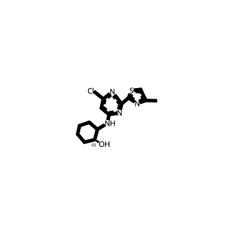 Cc1csc(-c2nc(Cl)cc(NC3CCCC[C@@H]3O)n2)n1